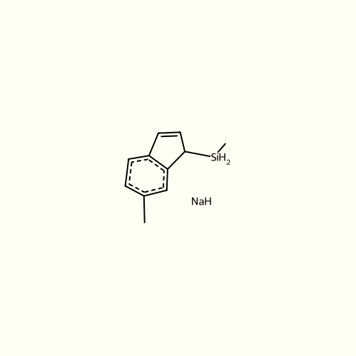 C[SiH2]C1C=Cc2ccc(C)cc21.[NaH]